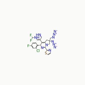 [N-]=[N+]=NCC1(N=[N+]=[N-])CC2=C(/C(C=N)=C/NC(F)F)[C@H](c3ccc(F)cc3Cl)N=C(c3nccs3)N2C1